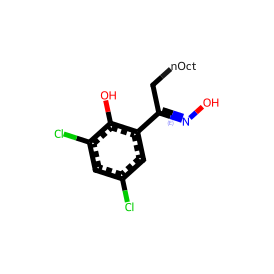 CCCCCCCCC/C(=N\O)c1cc(Cl)cc(Cl)c1O